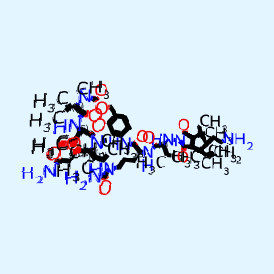 C=C(C)C1(C)C2C(=O)N(N[C@H](C(=O)N[C@@H](CCCNC(N)=O)C(=O)Nc3ccc(COC(=O)N(C)[C@H](C(=O)N[C@H](C(=O)N(C)[C@@H]([C@@H](C)CC)[C@@H](CC(N)=O)OC)C(C)C)C(C)C)cc3)C(C)C)C(=O)C2C(C)(CC)C1(C)CCN